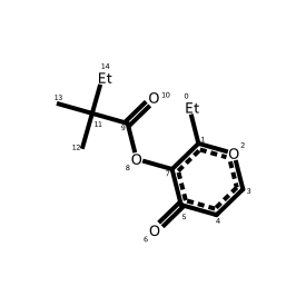 CCc1occc(=O)c1OC(=O)C(C)(C)CC